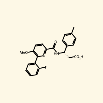 COc1ccc(C(=O)N[C@@H](CC(=O)O)c2ccc(C)cc2)nc1-c1ccccc1F